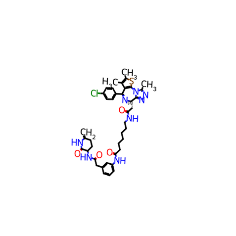 C=C1CCC(NC(=O)Cc2cccc(NC(=O)CCCCCCNC(=O)C[C@@H]3N=C(c4ccc(Cl)cc4)c4c(sc(C)c4C)-n4c(C)nnc43)c2)C(=O)N1